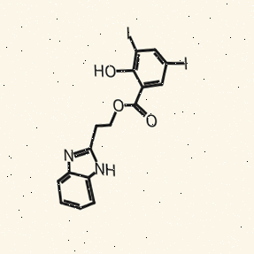 O=C(OCCc1nc2ccccc2[nH]1)c1cc(I)cc(I)c1O